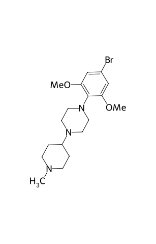 COc1cc(Br)cc(OC)c1N1CCN(C2CCN(C)CC2)CC1